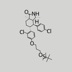 C[C@H]1NC(=O)[C@]2(C)CC[C@@H](c3ccc(OCCCO[Si](C)(C)C(C)(C)C)cc3Cl)[C@H](c3ccc(Cl)cc3)[C@H]12